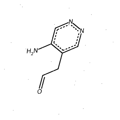 Nc1cnncc1CC=O